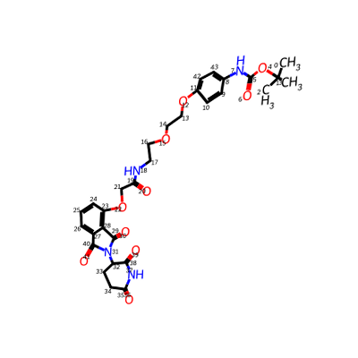 CC(C)(C)OC(=O)Nc1ccc(OCCOCCNC(=O)COc2cccc3c2C(=O)N(C2CCC(=O)NC2=O)C3=O)cc1